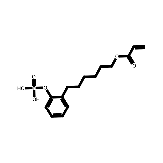 C=CC(=O)OCCCCCCc1ccccc1OP(=O)(O)O